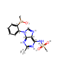 C[S+]([O-])c1ccccc1-n1cnc2c(NS(C)(=O)=O)nc(C(F)(F)F)nc21